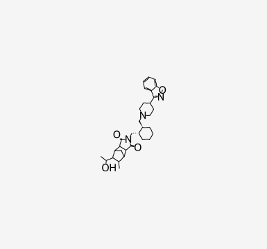 CC(O)C1C(C)C2CC1C1C(=O)N(C[C@H]3CCCC[C@@H]3CN3CCC(c4noc5ccccc45)CC3)C(=O)C21